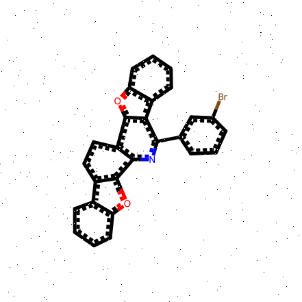 Brc1cccc(-c2nc3c(ccc4c5ccccc5oc43)c3oc4ccccc4c23)c1